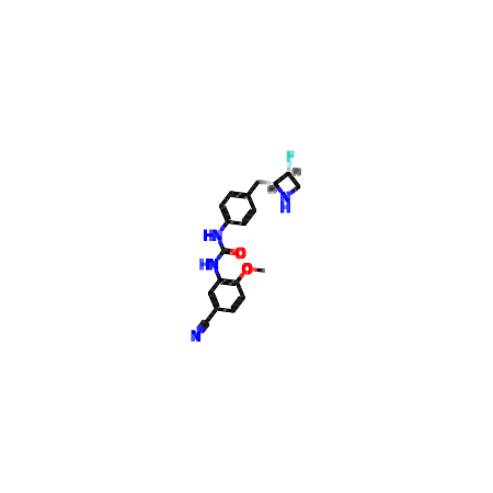 COc1ccc(C#N)cc1NC(=O)Nc1ccc(C[C@H]2NC[C@H]2F)cc1